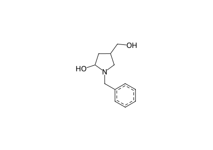 OCC1CC(O)N(Cc2ccccc2)C1